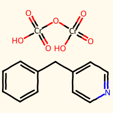 [O]=[Cr](=[O])([OH])[O][Cr](=[O])(=[O])[OH].c1ccc(Cc2ccncc2)cc1